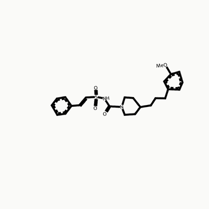 COc1cccc(CCCC2CCN(C(=O)NS(=O)(=O)C=Cc3ccccc3)CC2)c1